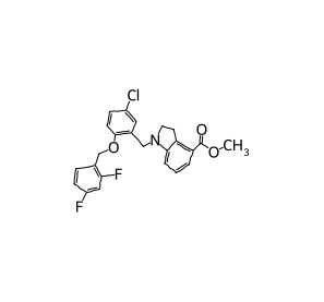 COC(=O)c1cccc2c1CCN2Cc1cc(Cl)ccc1OCc1ccc(F)cc1F